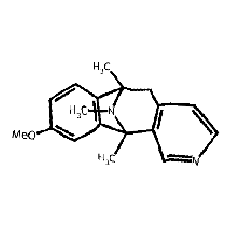 COc1ccc2c(c1)C1(C)c3cnccc3CC2(C)N1C